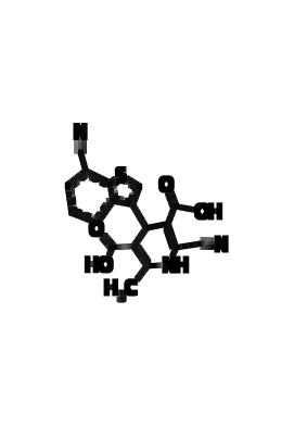 CC1=C(C(=O)O)C(c2csc3c(C#N)cccc23)C(C(=O)O)=C(C#N)N1